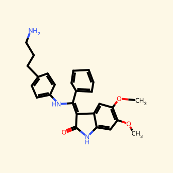 COc1cc2c(cc1OC)/C(=C(/Nc1ccc(CCCN)cc1)c1ccccc1)C(=O)N2